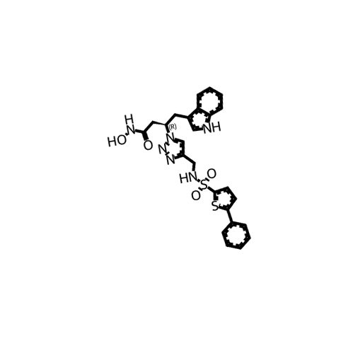 O=C(C[C@@H](Cc1c[nH]c2ccccc12)n1cc(CNS(=O)(=O)c2ccc(-c3ccccc3)s2)nn1)NO